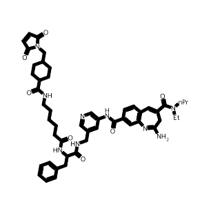 CCCN(CC)C(=O)C1=Cc2ccc(C(=O)Nc3cncc(CNC(=O)C(Cc4ccccc4)NC(=O)CCCCCNC(=O)C4CCC(CN5C(=O)C=CC5=O)CC4)c3)cc2N=C(N)C1